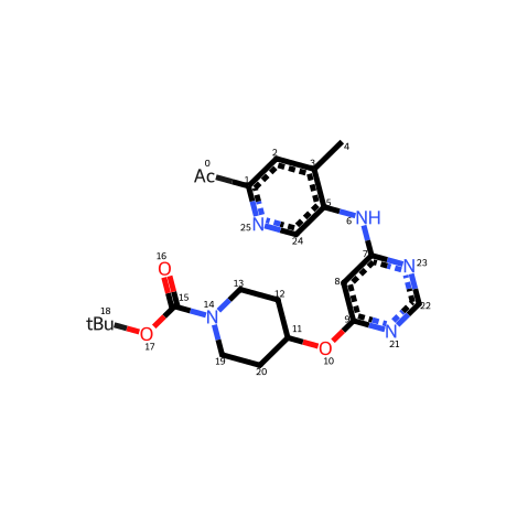 CC(=O)c1cc(C)c(Nc2cc(OC3CCN(C(=O)OC(C)(C)C)CC3)ncn2)cn1